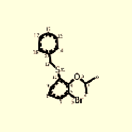 CC(C)Oc1c(Br)cccc1SCc1ccccc1